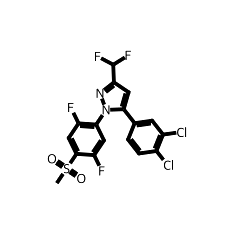 CS(=O)(=O)c1cc(F)c(-n2nc(C(F)F)cc2-c2ccc(Cl)c(Cl)c2)cc1F